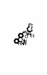 CCn1c(CF)c(CCC(C)C)n(Cc2ccc(-c3ccccc3-c3nnn[nH]3)cc2)c1=O